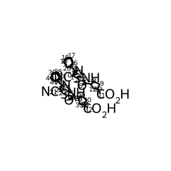 N#Cc1sc(NC(=O)C2CCC(C(=O)O)C2)nc1-c1ccccc1.N#Cc1sc(NC(=O)[C@H]2CC[C@@H](C(=O)O)C2)nc1-c1ccccc1